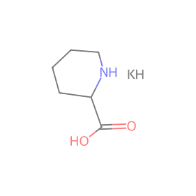 O=C(O)C1CCCCN1.[KH]